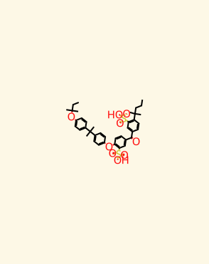 CCCC(C)(C)c1ccc(C(=O)c2ccc(Oc3ccc(C(C)(C)c4ccc(OC(C)(C)CC)cc4)cc3)c(S(=O)(=O)O)c2)cc1S(=O)(=O)O